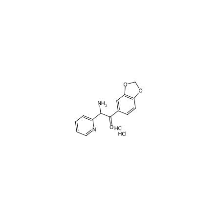 Cl.Cl.NC(C(=O)c1ccc2c(c1)OCO2)c1ccccn1